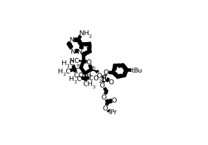 CC(C)OC(=O)OCOP(=O)(OC[C@@H]1O[C@@](C#N)(c2ccc3c(N)ncnn23)[C@@H](C(C)(C)C(=O)O)[C@@H]1C(C)(C)C(=O)O)Oc1ccc(C(C)(C)C)cc1